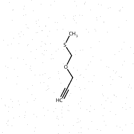 C#CCOCSC